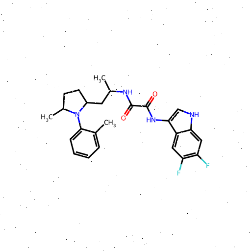 Cc1ccccc1N1C(C)CCC1CC(C)NC(=O)C(=O)Nc1c[nH]c2cc(F)c(F)cc12